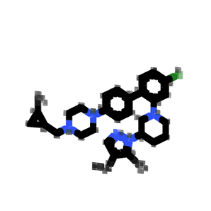 O=C(O)c1cnn(C2CCCN(c3cc(Cl)ccc3-c3ccc(N4CCN(CC5CC5C(F)(F)F)CC4)cc3)C2)c1C(F)(F)F